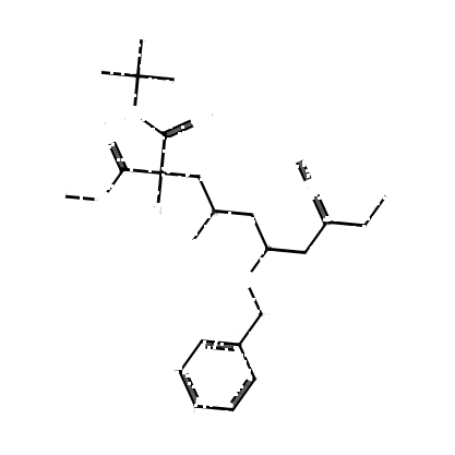 CCC(=C=O)CC(CC(C)CC(N)(C(=O)OC)C(=O)OC(C)(C)C)OCc1ccccc1